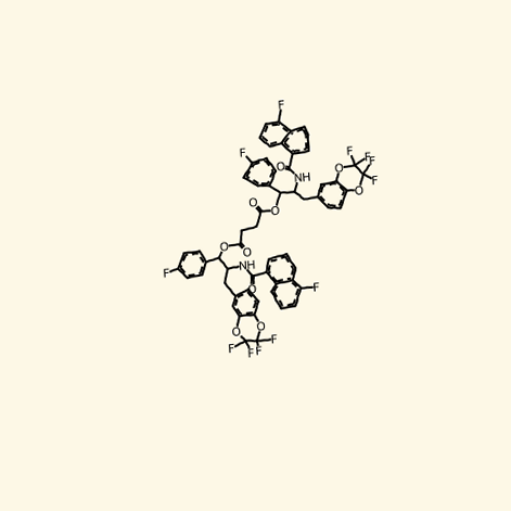 O=C(CCC(=O)OC(c1ccc(F)cc1)C(Cc1ccc2c(c1)OC(F)(F)C(F)(F)O2)NC(=O)c1cccc2c(F)cccc12)OC(c1ccc(F)cc1)C(Cc1ccc2c(c1)OC(F)(F)C(F)(F)O2)NC(=O)c1cccc2c(F)cccc12